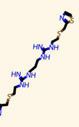 N=C(NCCCNC(=N)NCCSCc1nccs1)NCCSCc1nccs1